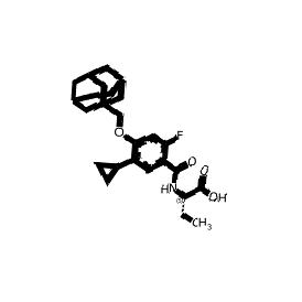 CC[C@H](NC(=O)c1cc(C2CC2)c(OCC23CC4CC(CC(C4)C2)C3)cc1F)C(=O)O